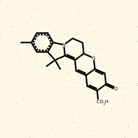 Cc1ccc2c(c1)C(C)(C)C1=C3C=C4C=C(C(=O)O)C(=O)C=C4OC3CCN12